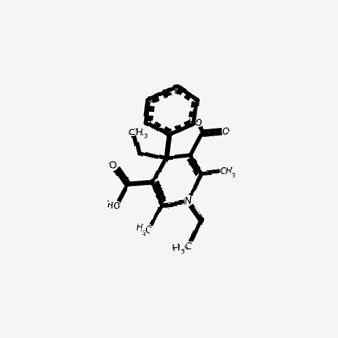 CCN1C(C)=C(C(=O)O)C(CC)(c2ccccc2)C(C(=O)O)=C1C